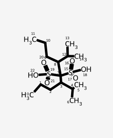 CCCC(C(C)C)C(C(CCC)C(C)C)(S(=O)(=O)O)S(=O)(=O)O